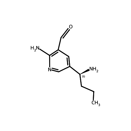 CCC[C@H](N)c1cnc(N)c(C=O)c1